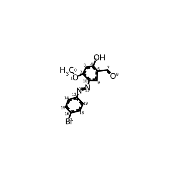 COc1cc(O)c(C=O)cc1N=Nc1ccc(Br)cc1